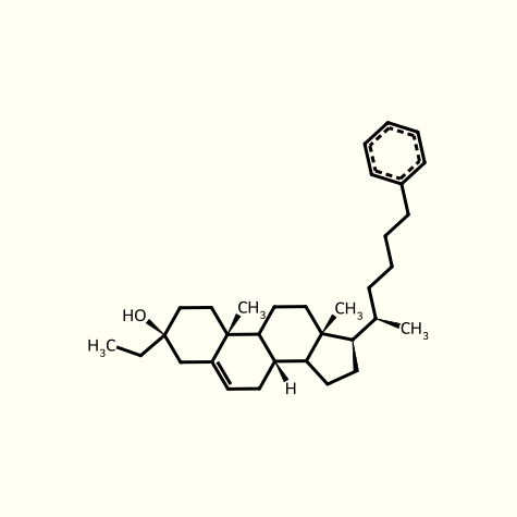 CC[C@]1(O)CC[C@@]2(C)C(=CC[C@@H]3C2CC[C@@]2(C)C3CC[C@@H]2[C@H](C)CCCCc2ccccc2)C1